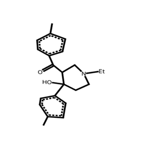 CCN1CCC(O)(c2ccc(C)cc2)C(C(=O)c2ccc(C)cc2)C1